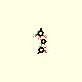 Cc1cc(Cl)c(O[C@@H]2C=C[C@H](Oc3c(Cl)cc(C)cc3Br)C2)c(Br)c1